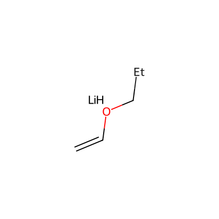 C=COCCC.[LiH]